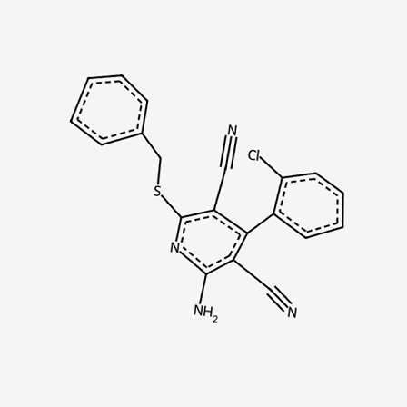 N#Cc1c(N)nc(SCc2ccccc2)c(C#N)c1-c1ccccc1Cl